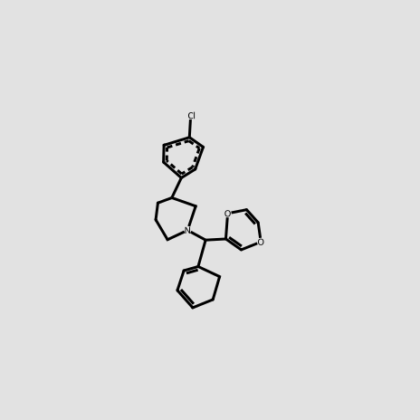 Clc1ccc(C2CCCN(C(C3=CC=CCC3)C3=COC=CO3)C2)cc1